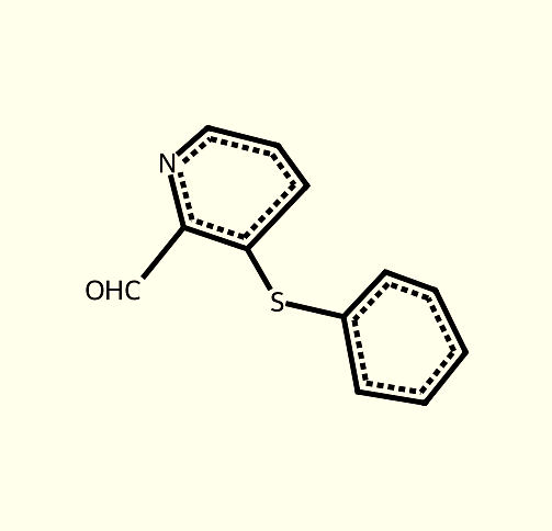 O=Cc1ncccc1Sc1ccccc1